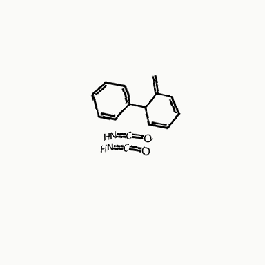 C=C1C=CC=CC1c1ccccc1.N=C=O.N=C=O